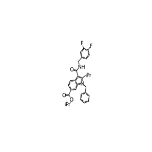 CC(C)OC(=O)c1ccc2c(C(=O)NCc3ccc(F)c(F)c3)c(C(C)C)n(Cc3ccccc3)c2c1